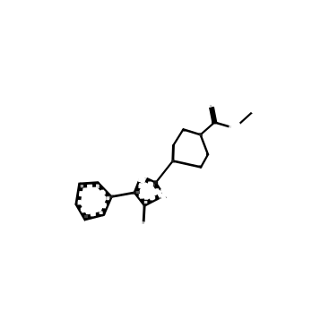 COC(=O)C1CCC(c2nc(Br)c(-c3ccccc3)o2)CC1